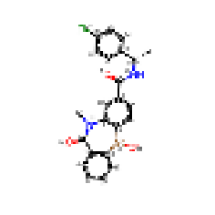 C[C@H](NC(=O)c1ccc2c(c1)N(C)C(=O)c1ccccc1[S+]2[O-])c1ccc(Cl)cc1